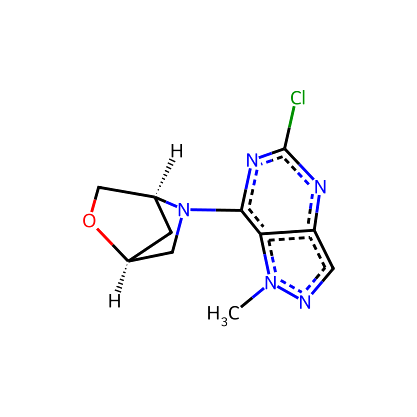 Cn1ncc2nc(Cl)nc(N3C[C@@H]4C[C@H]3CO4)c21